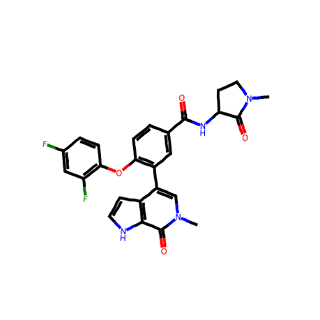 CN1CCC(NC(=O)c2ccc(Oc3ccc(F)cc3F)c(-c3cn(C)c(=O)c4[nH]ccc34)c2)C1=O